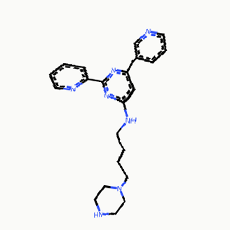 c1ccc(-c2nc(NCCCCN3CCNCC3)cc(-c3cccnc3)n2)nc1